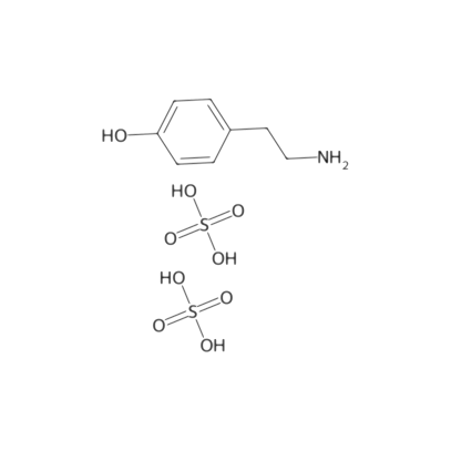 NCCc1ccc(O)cc1.O=S(=O)(O)O.O=S(=O)(O)O